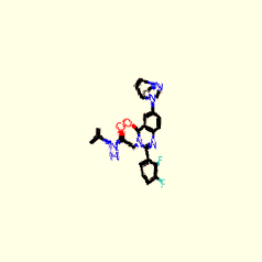 CC(C)NC(=O)Cn1c(-c2cccc(F)c2F)nc2ccc(N3CCN4CCC3CC4)cc2c1=O